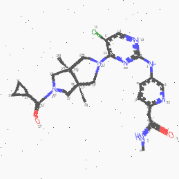 CNC(=O)c1ccc(Nc2ncc(Cl)c(N3C[C@]4(C)CN(C(=O)C5CC5)C[C@]4(C)C3)n2)cn1